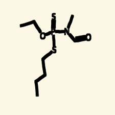 CCCCSP(=S)(OCC)N(C)C=O